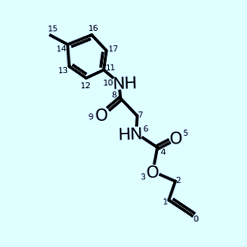 C=CCOC(=O)NCC(=O)Nc1ccc(C)cc1